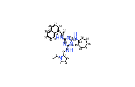 CCN1CCCC1CNc1nc(NC2CCCCCC2)nc(NC(C)c2cccc3ccccc23)n1